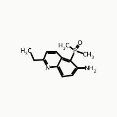 CCc1ccc2c(P(C)(C)=O)c(N)ccc2n1